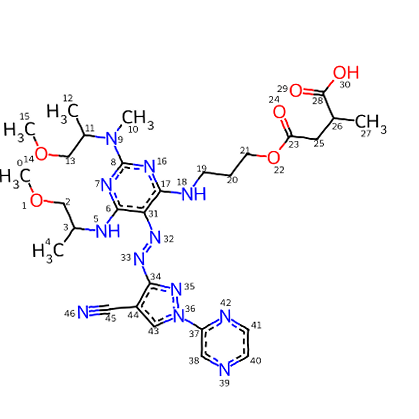 COCC(C)Nc1nc(N(C)C(C)COC)nc(NCCCOC(=O)CC(C)C(=O)O)c1N=Nc1nn(-c2cnccn2)cc1C#N